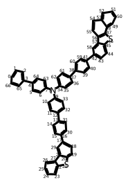 c1ccc(-c2ccc(N(c3ccc(-c4ccc(-c5ccc6sc7ccccc7c6c5)cc4)cc3)c3ccc(-c4ccc(-c5ccc6sc7c8ccccc8ccc7c6c5)cc4)cc3)cc2)cc1